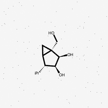 CC(C)[C@@H]1C2C[C@@]2(CO)[C@@H](O)[C@H]1O